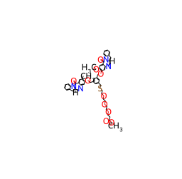 COC(=O)CCOCCOCCOCCSCc1cc(COc2cc3c(cc2C)C(=O)N2c4ccccc4C[C@H]2C=N3)cc(COc2cc3c(cc2OC)C(=O)N2c4ccccc4C[C@H]2C=N3)c1